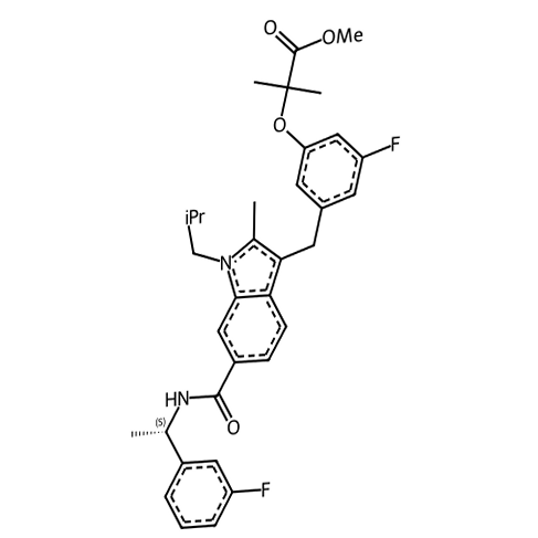 COC(=O)C(C)(C)Oc1cc(F)cc(Cc2c(C)n(CC(C)C)c3cc(C(=O)N[C@@H](C)c4cccc(F)c4)ccc23)c1